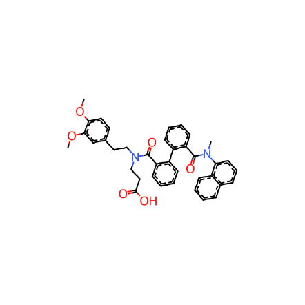 COc1ccc(CCN(CCC(=O)O)C(=O)c2ccccc2-c2ccccc2C(=O)N(C)c2cccc3ccccc23)cc1OC